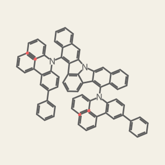 c1ccc(-c2ccc(N(c3ccccc3)c3c4ccccc4cc4c3c3cccc5c6c(N(c7ccccc7)c7ccc(-c8ccccc8)cc7-c7ccccc7)c7ccccc7cc6n4c35)c(-c3ccccc3)c2)cc1